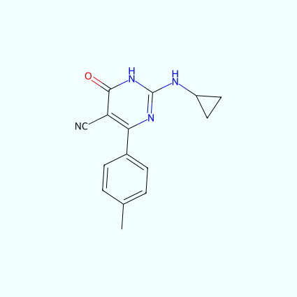 Cc1ccc(-c2nc(NC3CC3)[nH]c(=O)c2C#N)cc1